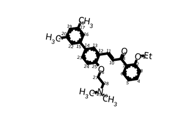 CCOc1ccccc1C(=O)C=Cc1cc(-c2cc(C)cc(C)c2)ccc1OCCN(C)C